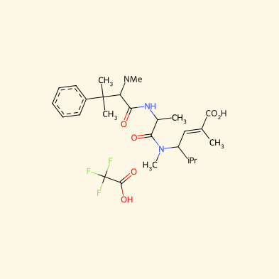 CNC(C(=O)NC(C)C(=O)N(C)C(/C=C(\C)C(=O)O)C(C)C)C(C)(C)c1ccccc1.O=C(O)C(F)(F)F